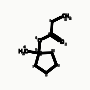 CCC(=O)O[Si]1(C)CCCC1